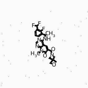 C[C@@H](Nc1ncnc2c1cc(C(=O)N1CC3(COC3)C1)c(=O)n2C)c1cccc(C(F)F)c1F